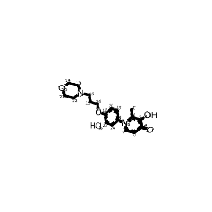 Cc1c(O)c(=O)ccn1-c1ccc(OCCCN2CCOCC2)cc1.Cl